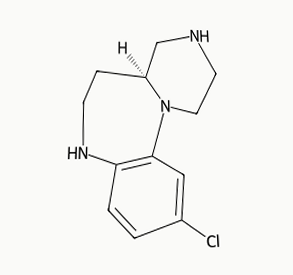 Clc1ccc2c(c1)N1CCNC[C@@H]1CCN2